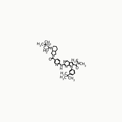 CN(C)C(=O)c1cc2cnc(Nc3ccc(C(=O)N4CC5CCCN(C(=O)OC(C)(C)C)C5C4)cn3)nc2n1-c1cccc(C(C)(C)C)c1